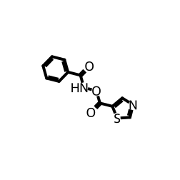 O=C(NOC(=O)c1cncs1)c1ccccc1